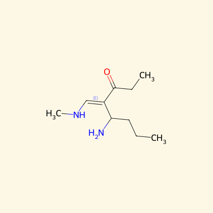 CCCC(N)/C(=C\NC)C(=O)CC